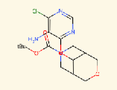 CC(C)(C)OC(=O)N1CC2COCC(C1)C2Oc1ncnc(Cl)c1N